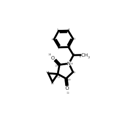 CC(c1ccccc1)N1CC(=O)C2(CC2)C1=O